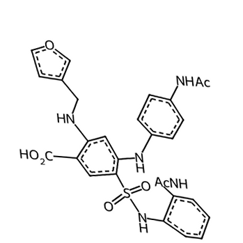 CC(=O)Nc1ccc(Nc2cc(NCc3ccoc3)c(C(=O)O)cc2S(=O)(=O)Nc2ccccc2NC(C)=O)cc1